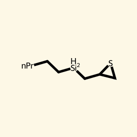 CCCCC[SiH2]CC1CS1